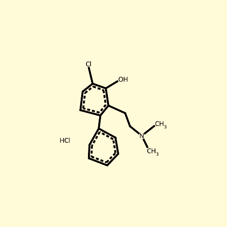 CN(C)CCc1c(-c2ccccc2)ccc(Cl)c1O.Cl